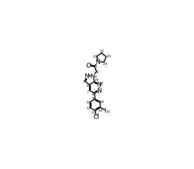 O=C(Cn1ncc2cc(-c3ccc(Cl)c(I)c3)nnc21)N1CCCC1